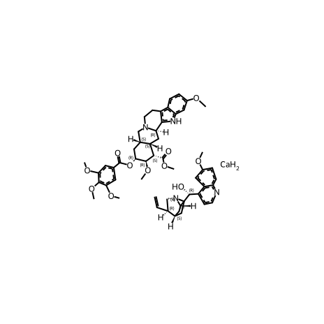 C=C[C@H]1C[N@]2CC[C@H]1C[C@H]2[C@H](O)c1ccnc2ccc(OC)cc12.COC(=O)[C@H]1[C@H]2C[C@@H]3c4[nH]c5cc(OC)ccc5c4CCN3C[C@H]2C[C@@H](OC(=O)c2cc(OC)c(OC)c(OC)c2)[C@@H]1OC.[CaH2]